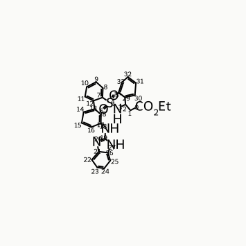 CCOC(=O)CC(NS(=O)(=O)c1ccccc1-c1cccc(Nc2nc3ccccc3[nH]2)c1)c1ccccc1